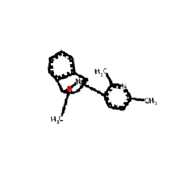 Cc1ccc(N2CN(C)C3CCC2c2ccccc23)c(C)n1